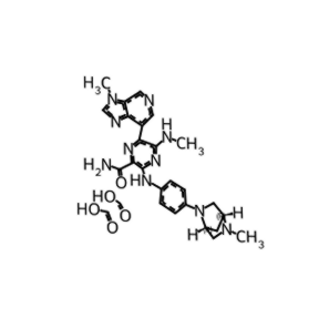 CNc1nc(Nc2ccc(N3C[C@H]4C[C@@H]3CN4C)cc2)c(C(N)=O)nc1-c1cncc2c1ncn2C.O=CO.O=CO